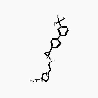 N[C@@H]1CCN(CCN[C@H]2CC2c2ccc(-c3cccc(C(F)(F)F)c3)cc2)C1